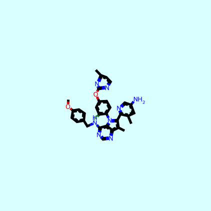 COc1ccc(CNc2ncnc3c(C)c(-c4ncc(N)cc4C)n(-c4ccc(Oc5nccc(C)n5)cc4F)c23)cc1